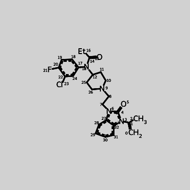 C=C(C)n1c(=O)n(CCN2CCC(N(C(=O)CC)c3ccc(F)c(Cl)c3)CC2)c2ccccc21